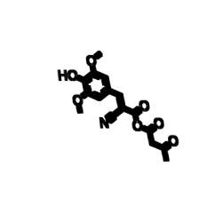 COc1cc(/C=C(\C#N)C(=O)OC(=O)CC(C)=O)cc(OC)c1O